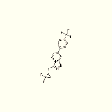 FC(F)(F)c1ccc(-c2ccn3c(CC4CC4(F)F)nnc3c2)cc1